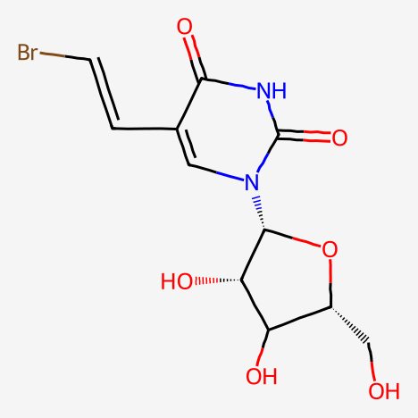 O=c1[nH]c(=O)n([C@@H]2O[C@H](CO)C(O)[C@@H]2O)cc1/C=C/Br